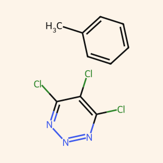 Cc1ccccc1.Clc1nnnc(Cl)c1Cl